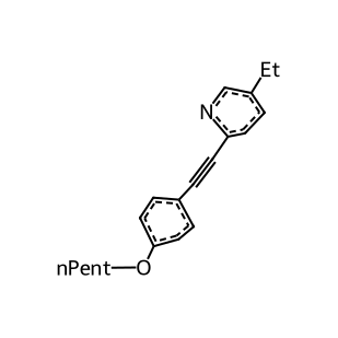 CCCCCOc1ccc(C#Cc2ccc(CC)cn2)cc1